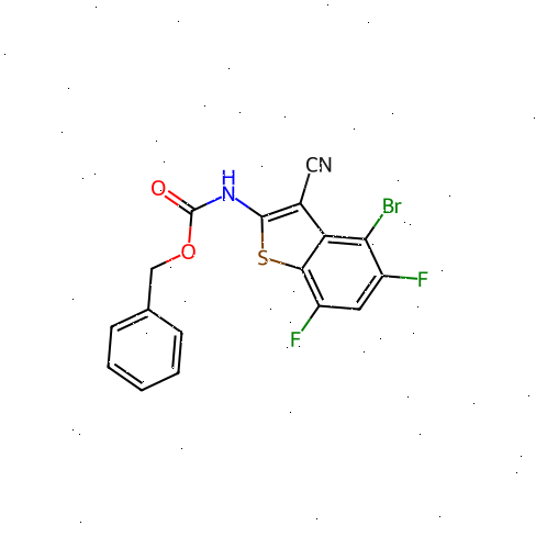 N#Cc1c(NC(=O)OCc2ccccc2)sc2c(F)cc(F)c(Br)c12